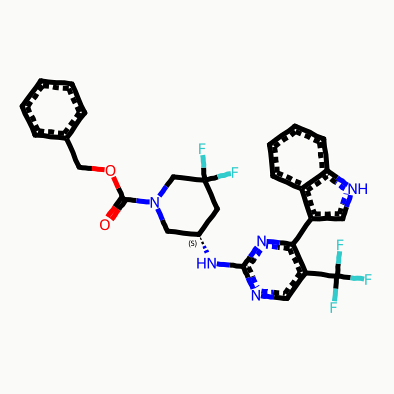 O=C(OCc1ccccc1)N1C[C@@H](Nc2ncc(C(F)(F)F)c(-c3c[nH]c4ccccc34)n2)CC(F)(F)C1